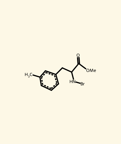 COC(=O)C(Cc1cccc(C)c1)NBr